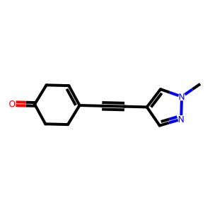 Cn1cc(C#CC2=CCC(=O)CC2)cn1